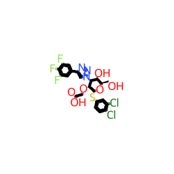 O=C(O)CO[C@@H]1[C@@H](n2cc(-c3cc(F)c(F)c(F)c3)nn2)[C@@H](O)[C@@H](CO)O[C@@H]1Sc1ccc(Cl)c(Cl)c1